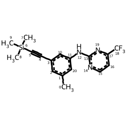 Cc1cc(C#C[Si](C)(C)C)cc(Nc2nccc(C(F)(F)F)n2)c1